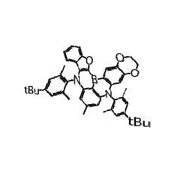 Cc1cc2c3c(c1)N(c1c(C)cc(C(C)(C)C)cc1C)c1c(oc4ccccc14)B3c1cc3c(cc1N2c1c(C)cc(C(C)(C)C)cc1C)OCCO3